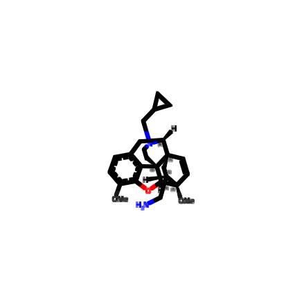 COc1ccc2c3c1O[C@H]1[C@@]4(OC)C=C[C@@]5(C[C@H]4CN)[C@@H](C2)N(CC2CC2)CC[C@]315